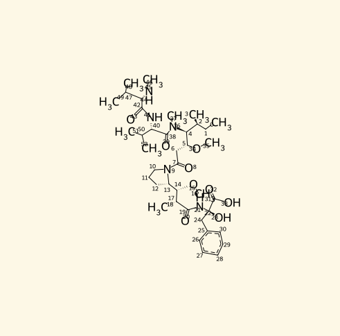 CC[C@H](C)[C@@H]([C@@H](CC(=O)N1CCC[C@H]1[C@H](OC)[C@@H](C)C(=O)N[C@@](O)(Cc1ccccc1)C(=O)O)OC)N(C)C(=O)[C@@H](NC(=O)[C@@H](NC)C(C)C)C(C)C